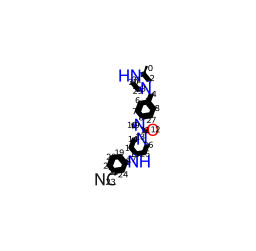 C[C@H]1CN(Cc2ccc(N(C)C(=O)N3CCC(Nc4cccc(C#N)c4)CC3)cc2)CCN1